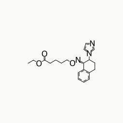 CCOC(=O)CCCCON=C1c2ccccc2CCC1n1ccnc1